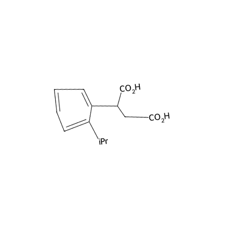 CC(C)c1ccccc1C(CC(=O)O)C(=O)O